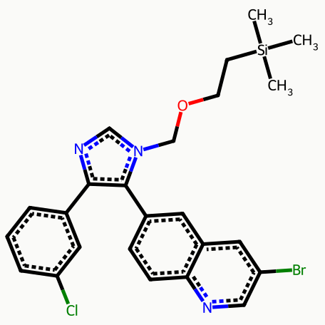 C[Si](C)(C)CCOCn1cnc(-c2cccc(Cl)c2)c1-c1ccc2ncc(Br)cc2c1